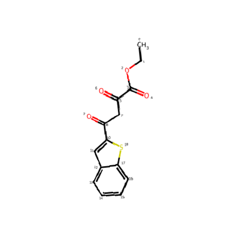 CCOC(=O)C(=O)CC(=O)c1cc2ccccc2s1